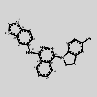 Brc1ccc2c(c1)CCN2c1nnc(Nc2ccc3ncsc3c2)c2ccccc12